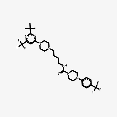 CC(C)(C)c1nc(N2CCN(CCCCNC(=O)N3CCN(c4ccc(C(F)(F)F)cc4)CC3)CC2)cc(C(F)(F)F)n1